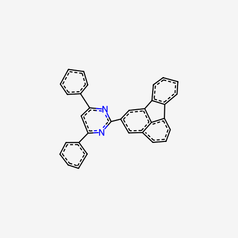 c1ccc(-c2cc(-c3ccccc3)nc(-c3cc4c5c(cccc5c3)-c3ccccc3-4)n2)cc1